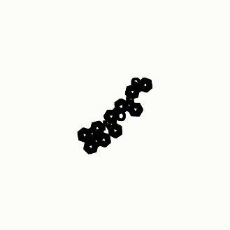 c1ccc2c(c1)-c1ccccc1C21c2ccccc2-c2ccc(-n3c4ccccc4c4c5oc6c(ccc7c6c6ccccc6n7-c6ccc7oc8ccccc8c7c6)c5ccc43)cc21